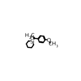 C=C(c1ccc(OC)cc1)[SiH]1CCCCC1